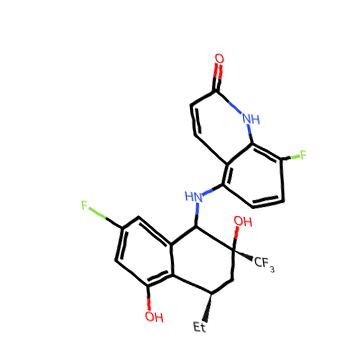 CC[C@@H]1C[C@](O)(C(F)(F)F)C(Nc2ccc(F)c3[nH]c(=O)ccc23)c2cc(F)cc(O)c21